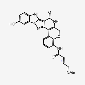 CNC/C=C/C(=O)Nc1cccc2c1OCc1[nH]c(=O)c3c(nn4c5cc(O)ccc5[nH]c34)c1-2